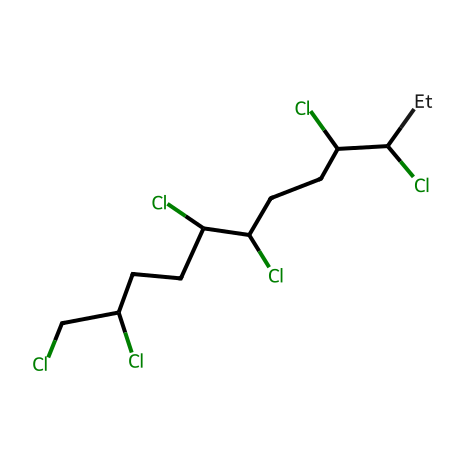 CCC(Cl)C(Cl)CCC(Cl)C(Cl)CCC(Cl)CCl